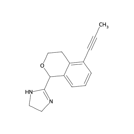 CC#Cc1cccc2c1CCOC2C1=NCCN1